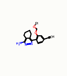 C#Cc1ccc(-c2nnc(N)c3c2CCCC3)c(OCOCC)c1